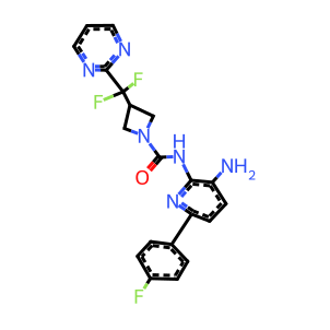 Nc1ccc(-c2ccc(F)cc2)nc1NC(=O)N1CC(C(F)(F)c2ncccn2)C1